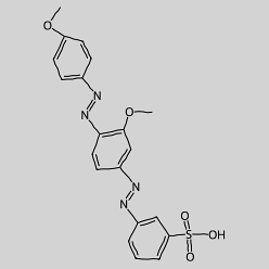 COc1ccc(N=Nc2ccc(N=Nc3cccc(S(=O)(=O)O)c3)cc2OC)cc1